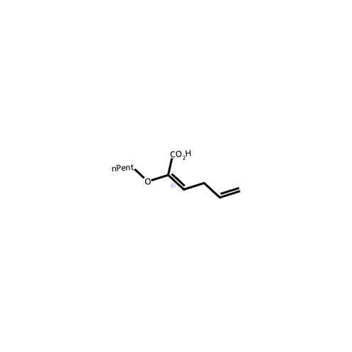 C=CC/C=C(/OCCCCC)C(=O)O